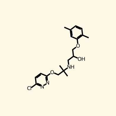 Cc1ccc(C)c(OCC(O)CNC(C)(C)COc2ccc(Cl)nn2)c1